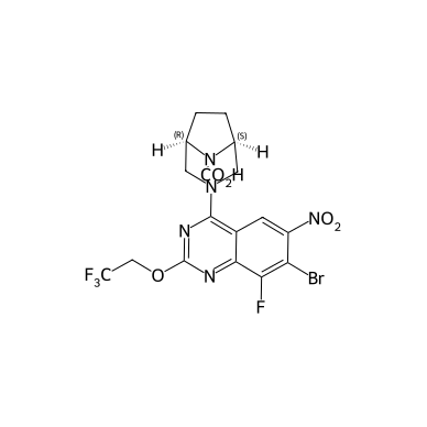 O=C(O)N1[C@@H]2CC[C@H]1CN(c1nc(OCC(F)(F)F)nc3c(F)c(Br)c([N+](=O)[O-])cc13)C2